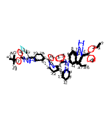 CCOC(=O)c1[nH]c2ccc(NC(=O)[C@@H]3[C@H](C4=CCCCC4)CCN3C(=O)[C@H]3CC[C@H]([C@@H](CF)NC(=O)OC(C)(C)C)CC3)cc2c1CC